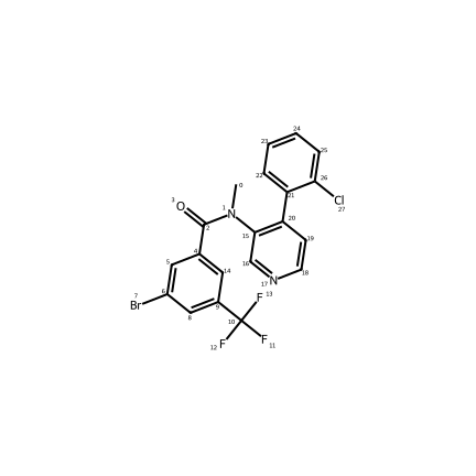 CN(C(=O)c1cc(Br)cc(C(F)(F)F)c1)c1cnccc1-c1ccccc1Cl